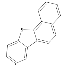 [c]1ccc2sc3c4ccccc4ccc3c2c1